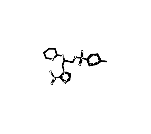 Cc1ccc(S(=O)(=O)OCC(Cn2ccnc2[N+](=O)[O-])OC2CCCCO2)cc1